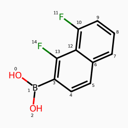 OB(O)c1ccc2cccc(F)c2c1F